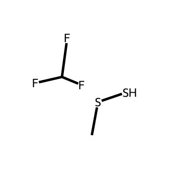 CSS.FC(F)F